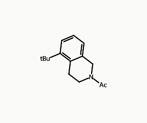 CC(=O)N1CCc2c(cccc2C(C)(C)C)C1